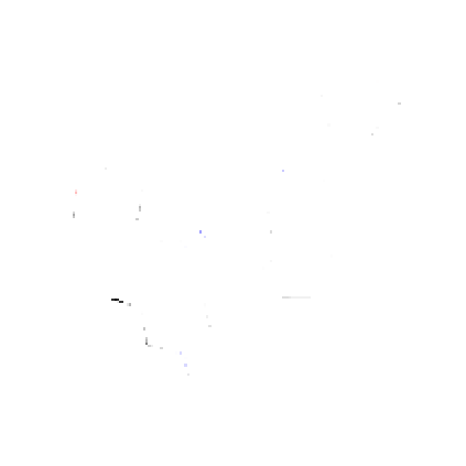 C[C@@H]1C(=O)N(C)Cc2c(-c3cccc4cc(C5CCOCC5)ncc34)nc(C3CCOCC3)n21